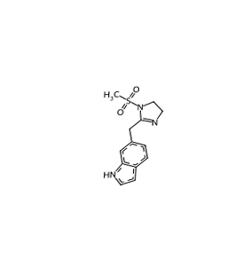 CS(=O)(=O)N1CCN=C1Cc1ccc2cc[nH]c2c1